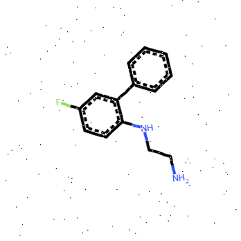 NCCNc1ccc(F)cc1-c1ccccc1